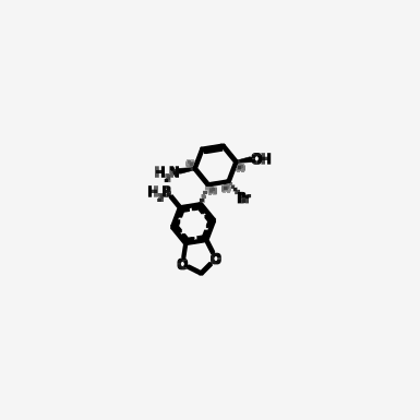 Bc1cc2c(cc1[C@H]1[C@@H](Br)[C@H](O)C=C[C@@H]1N)OCO2